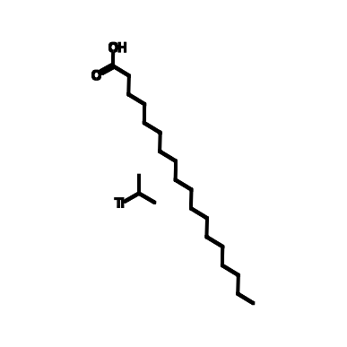 CCCCCCCCCCCCCCCCCC(=O)O.C[CH](C)[Ti]